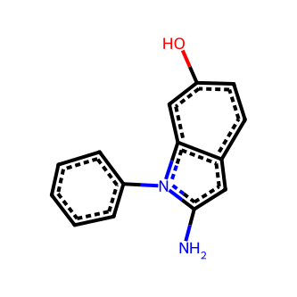 Nc1cc2ccc(O)cc2n1-c1ccccc1